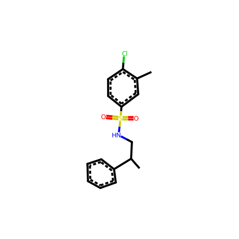 Cc1cc(S(=O)(=O)NCC(C)c2ccccc2)ccc1Cl